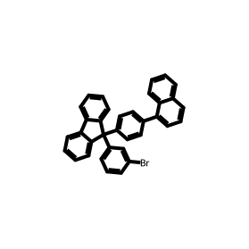 Brc1cccc(C2(c3ccc(-c4cccc5ccccc45)cc3)c3ccccc3-c3ccccc32)c1